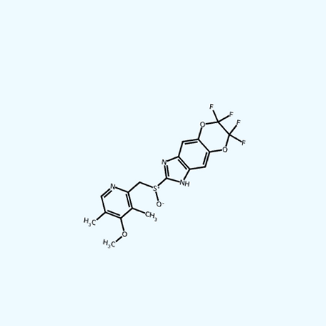 COc1c(C)cnc(C[S+]([O-])c2nc3cc4c(cc3[nH]2)OC(F)(F)C(F)(F)O4)c1C